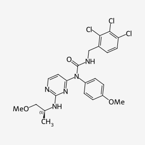 COC[C@H](C)Nc1nccc(N(C(=O)NCc2ccc(Cl)c(Cl)c2Cl)c2ccc(OC)cc2)n1